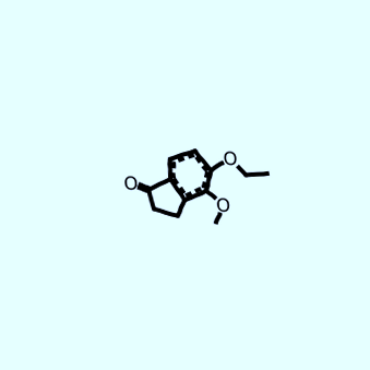 CCOc1ccc2c(c1OC)CCC2=O